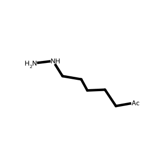 CC(=O)CCCCCNN